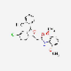 COc1cccc(OC)c1NC(=O)Cc1oc(-c2ccccc2C)c2cc(Cl)ccc12